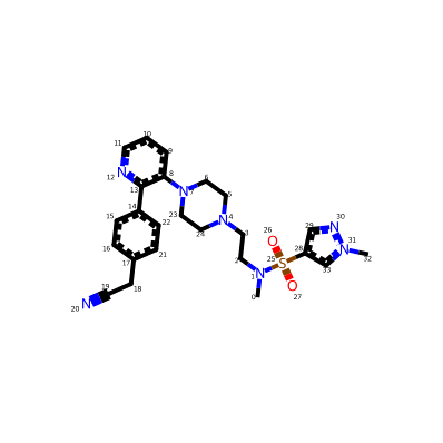 CN(CCN1CCN(c2cccnc2-c2ccc(CC#N)cc2)CC1)S(=O)(=O)c1cnn(C)c1